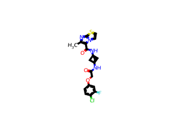 Cc1nc2sccn2c1C(=O)NC12CC(NC(=O)COc3ccc(Cl)c(F)c3)(C1)C2